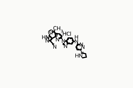 CC(=O)c1ccc(-n2cnc3cc(Nc4ccc([C@H]5CCCN5)nn4)ccc32)nc1-c1c(C#N)n[nH]c1C.Cl